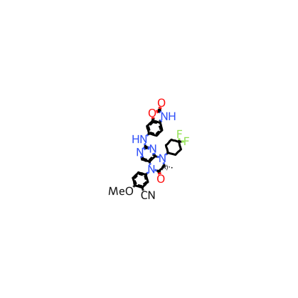 COc1ccc(N2C(=O)[C@@H](C)N(C3CCC(F)(F)CC3)c3nc(Nc4ccc5[nH]c(=O)oc5c4)ncc32)cc1C#N